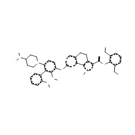 CCc1cccc(CC)c1NC(=O)c1nn(C)c2c1CCc1cnc(Nc3ccc(N4CCC(N(C)C)CC4)c(-c4ccccc4OC)c3OC)nc1-2